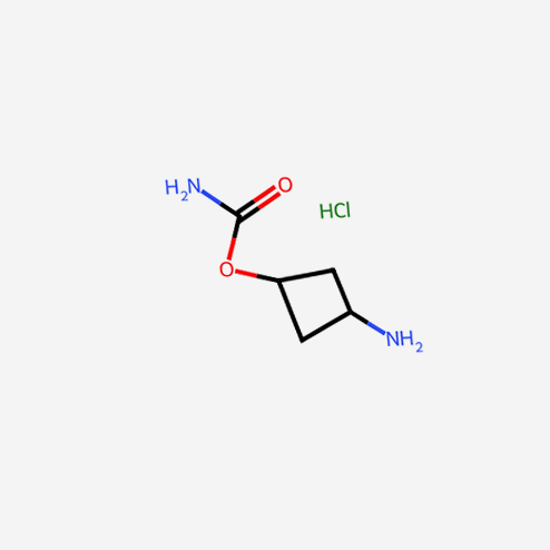 Cl.NC(=O)OC1CC(N)C1